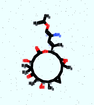 C=C(C)O/C=C(N)/C=C(\C)[C@@H]1CC2OC2(C)CC2CC2[C@H](C)[C@H](O)[C@@H](C)C(=O)C(C)(C)[C@@H](O)CC(=O)O1